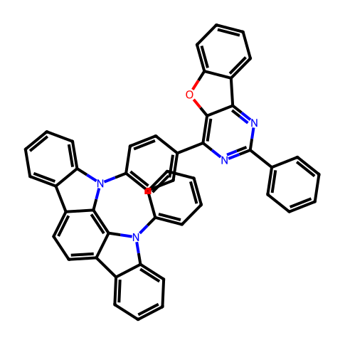 c1ccc(-c2nc(-c3ccc(-n4c5ccccc5c5ccc6c7ccccc7n(-c7ccccc7)c6c54)cc3)c3oc4ccccc4c3n2)cc1